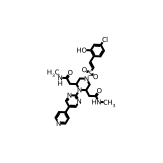 CNC(=O)CC1CN(S(=O)(=O)/C=C/c2ccc(Cl)cc2O)CC(CC(=O)NC)N1c1ncc(-c2ccncc2)cn1